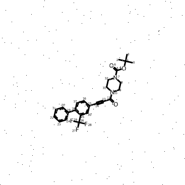 CC(C)(C)OC(=O)N1CCN(C(=O)C#Cc2ccc(-c3ccccc3)c(C(F)(F)F)c2)CC1